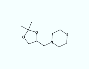 CC1(C)OCC(CN2CCSCC2)O1